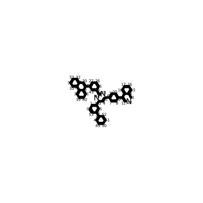 c1cc(-c2cc(-c3ccc(-c4cncc5ccccc45)cc3)nc(-c3cccc(-c4cc5ccccc5c5ccccc45)c3)n2)cc(-c2ccccc2)c#1